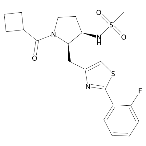 CS(=O)(=O)N[C@@H]1CCN(C(=O)C2CCC2)[C@@H]1Cc1csc(-c2ccccc2F)n1